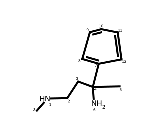 CNCCC(C)(N)c1ccccc1